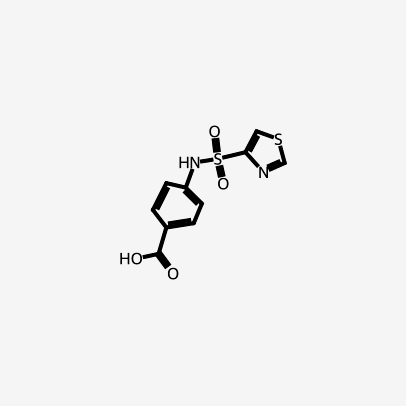 O=C(O)c1ccc(NS(=O)(=O)c2cscn2)cc1